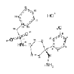 Cl.NC[C@]1(c2cccc(Cl)c2)CC[C@@H](NS(=O)(=O)Cc2ccccc2)CC1